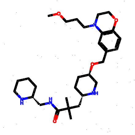 COCCCN1CCOc2ccc(CO[C@@H]3CC[C@@H](CC(C)(C)C(=O)NC[C@H]4CCCCN4)NC3)cc21